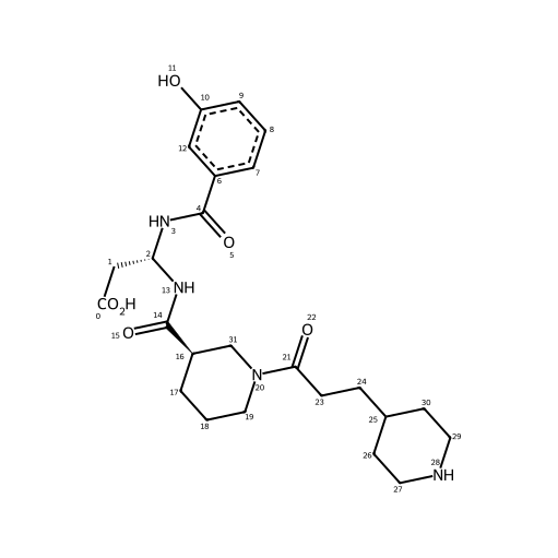 O=C(O)C[C@H](NC(=O)c1cccc(O)c1)NC(=O)[C@@H]1CCCN(C(=O)CCC2CCNCC2)C1